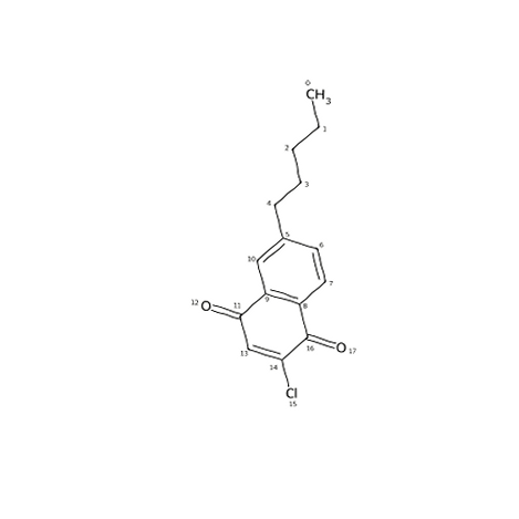 CCCCCc1ccc2c(c1)C(=O)C=C(Cl)C2=O